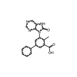 Cc1c(C(=O)O)cc(-c2ccccc2)cc1-n1c(=O)[nH]c2cncnc21